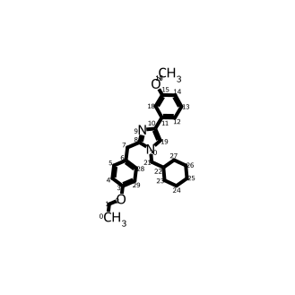 CCOc1ccc(Cc2nc(-c3cccc(OC)c3)cn2CC2CCCCC2)cc1